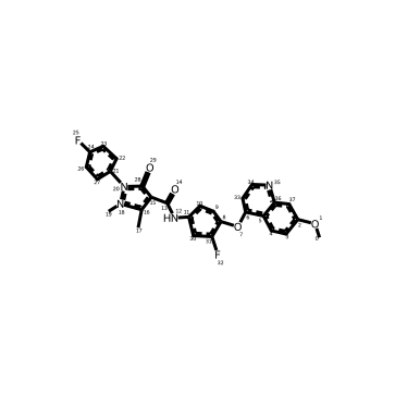 COc1ccc2c(Oc3ccc(NC(=O)c4c(C)n(C)n(-c5ccc(F)cc5)c4=O)cc3F)ccnc2c1